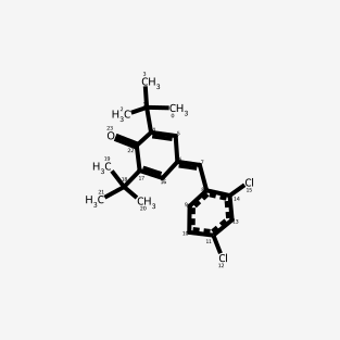 CC(C)(C)C1=CC(=Cc2ccc(Cl)cc2Cl)C=C(C(C)(C)C)C1=O